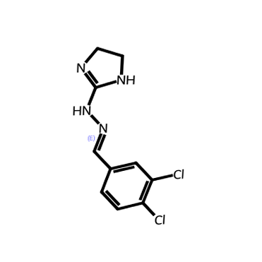 Clc1ccc(/C=N/NC2=NCCN2)cc1Cl